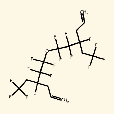 C=CCC(F)(CC(F)(F)F)C(F)(F)C(F)(F)OC(F)(F)C(F)(F)C(F)(CC=C)CC(F)(F)F